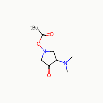 CN(C)C1CN(OC(=O)C(C)(C)C)CC1=O